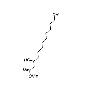 COC(=O)CC(O)CCCCCCCCCO